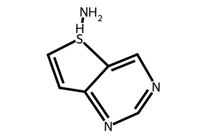 N[SH]1C=Cc2ncncc21